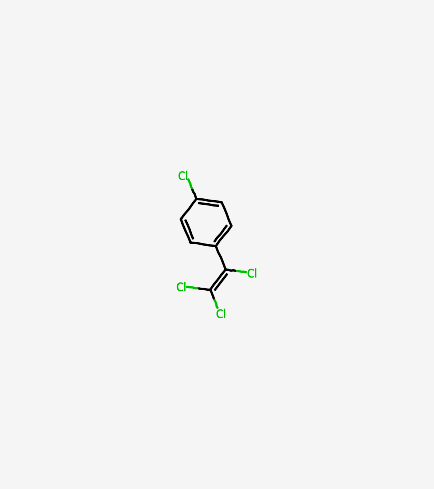 ClC(Cl)=C(Cl)c1ccc(Cl)cc1